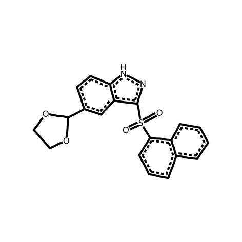 O=S(=O)(c1cccc2ccccc12)c1n[nH]c2ccc(C3OCCO3)cc12